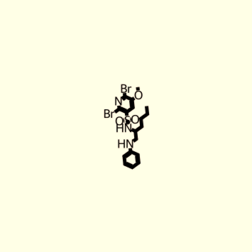 CCCCC(CNc1ccccc1)NS(=O)(=O)c1cc(OC)c(Br)nc1Br